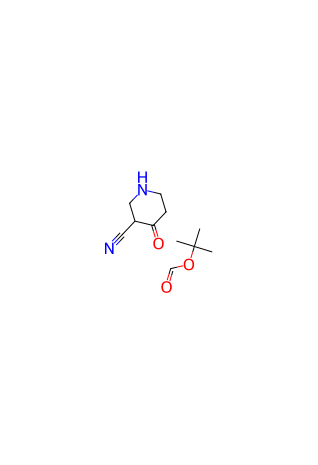 CC(C)(C)OC=O.N#CC1CNCCC1=O